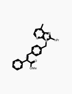 CCCc1nc2c(C)ccnc2n1Cc1ccc(/C=C(\C(=O)OC)c2ccccc2)cc1